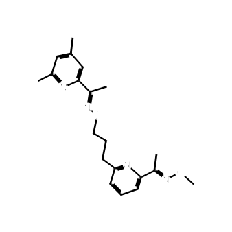 CO/N=C(\C)c1cccc(CCCO/N=C(\C)c2cc(C)cc(C)n2)n1